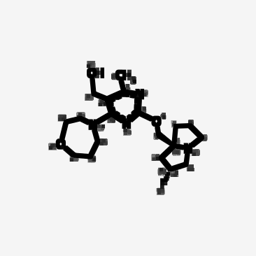 Cc1nc(OC[C@@]23CCCN2C[C@H](F)C3)nc(N2CCCOCC2)c1CO